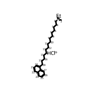 CCN(C)CCCCCCCCCCCCCCCCc1cccc2ccccc12.Cl